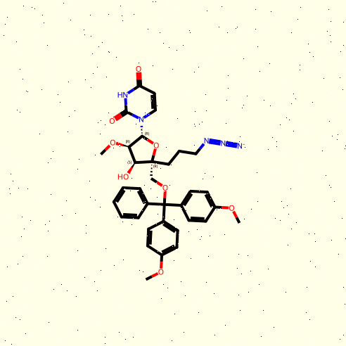 COc1ccc(C(OC[C@@]2(CCCN=[N+]=[N-])O[C@@H](n3ccc(=O)[nH]c3=O)[C@H](OC)[C@@H]2O)(c2ccccc2)c2ccc(OC)cc2)cc1